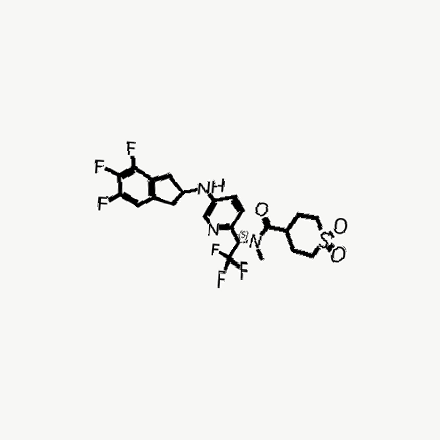 CN(C(=O)C1CCS(=O)(=O)CC1)[C@@H](c1ccc(NC2Cc3cc(F)c(F)c(F)c3C2)cn1)C(F)(F)F